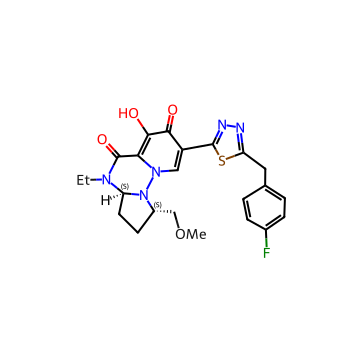 CCN1C(=O)c2c(O)c(=O)c(-c3nnc(Cc4ccc(F)cc4)s3)cn2N2[C@H](COC)CC[C@@H]12